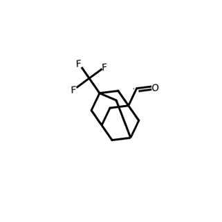 O=[C]C12CC3CC(C1)CC(C(F)(F)F)(C3)C2